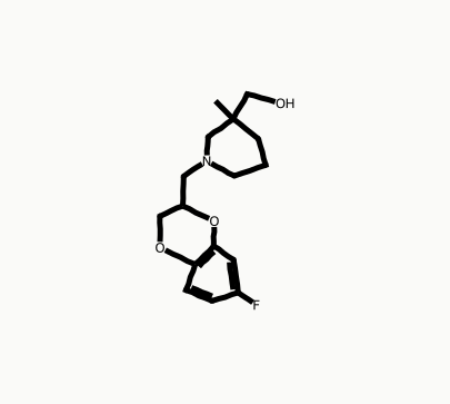 CC1(CO)CCCN(CC2COc3ccc(F)cc3O2)C1